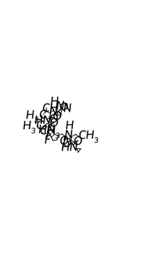 CCCC(NC(=O)C[C@H]1CCC(F)(F)[C@H]1CNC(=O)[C@@H](NC(=O)[C@H](NC(=O)c1cnccn1)C(C)C)C(C)C)C(=O)C(=O)NC1CC1